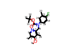 COc1c(C)cnc(CN(C(=O)OC(C)(C)C)c2ccc(F)c(C)c2)c1C